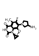 COc1c(N2CCC(N)C2)c(F)c(C)c2c(=O)[nH]c(=O)n(C3CC3)c12